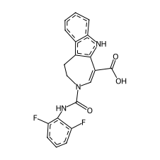 O=C(O)C1=CN(C(=O)Nc2c(F)cccc2F)CCc2c1[nH]c1ccccc21